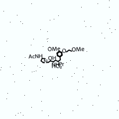 COCCCOc1cc(CC(C[C@H](N)[C@@H](O)CN2CC[C@H](NC(C)=O)C2)C(C)C)ccc1OC.Cl